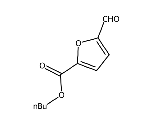 CCCCOC(=O)c1ccc(C=O)o1